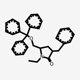 CCN1C(=O)C(Cc2ccccc2)CC1COC(c1ccccc1)(c1ccccc1)c1ccccc1